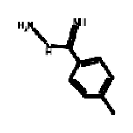 Cc1ccc(C(=N)NN)cc1